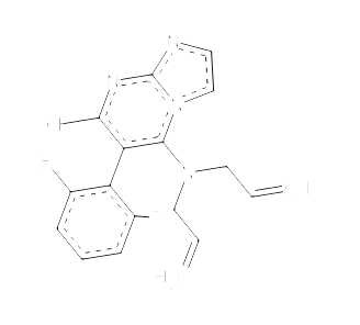 C=CCN(CC=C)c1c(-c2c(F)cccc2F)c(Cl)nc2nccn12